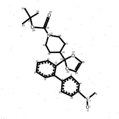 C[S+]([O-])c1ccc(-c2ccccc2C2(C3CCN(C(=O)OC(C)(C)C)CC3)OC=CO2)cc1